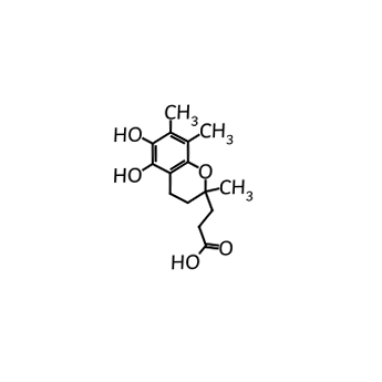 Cc1c(C)c2c(c(O)c1O)CCC(C)(CCC(=O)O)O2